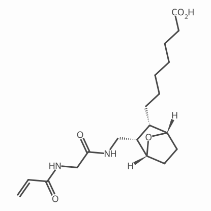 C=CC(=O)NCC(=O)NC[C@@H]1[C@H](CCCCCCC(=O)O)[C@@H]2CC[C@H]1O2